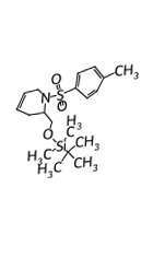 Cc1ccc(S(=O)(=O)N2CC=CCC2CO[Si](C)(C)C(C)(C)C)cc1